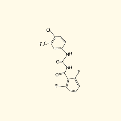 O=C(NC(=O)c1c(F)cccc1F)Nc1ccc(Cl)c(C(F)(F)F)c1